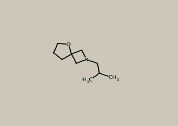 CC(C)CN1CC2(CCCO2)C1